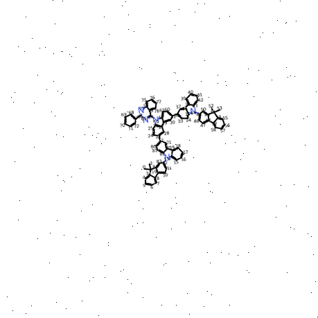 CC1(C)c2ccccc2-c2ccc(-n3c4ccccc4c4cc(-c5ccc6c(c5)c5cc(-c7ccc8c(c7)c7ccccc7n8-c7ccc8c(c7)C(C)(C)c7ccccc7-8)ccc5n6-c5nc(-c6ccccc6)nc6ccccc56)ccc43)cc21